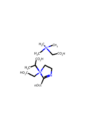 CCCCCCCCC1=NCC[N+]1(CC(=O)O)C(C)C(=O)O.C[N+](C)(C)CC(=O)O